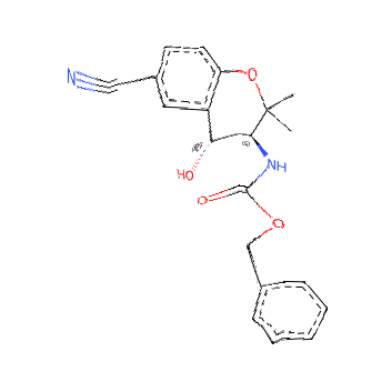 CC1(C)Oc2ccc(C#N)cc2[C@@H](O)[C@@H]1NC(=O)OCc1ccccc1